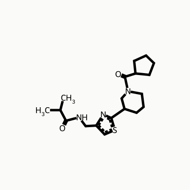 CC(C)C(=O)NCc1csc(C2CCCN(C(=O)C3CCCC3)C2)n1